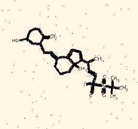 C=C1CCC(O)C/C1=C/C=C1\CCCC2(C)C(C(C)/C=C/C(F)(F)S(=O)(=O)C(C)(C)C)=CCC12